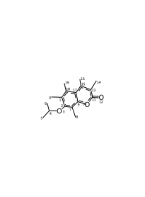 Cc1c(OC(C)C)c(C)c2oc(=O)c(C)c(C)c2c1C